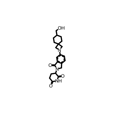 O=C1CCC(N2Cc3ccc(N4CC5(CCC(CO)CC5)C4)cc3C2=O)C(=O)N1